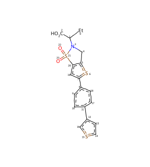 CCC(C(=O)O)N1Cc2sc(-c3ccc(-c4ccsc4)cc3)cc2S1(=O)=O